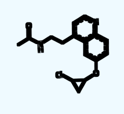 CC(=O)NCCc1ccnc2ccc(OC3CC3Cl)cc12